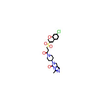 Cc1ncc2n1C(=O)N(C1CCN(C(=O)CCS(=O)(=O)C3=Cc4ccc(Cl)cc4OC3)CC1)C2